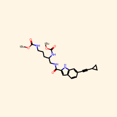 CC(C)(C)OC(=O)NCCCC(CNC(=O)c1cc2ccc(C#CC3CC3)cc2[nH]1)NC(=O)OC(C)(C)C